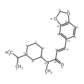 CC(C)N1CCCC(N(C)C(=O)C=Cc2ccc3c(c2)OCO3)C1